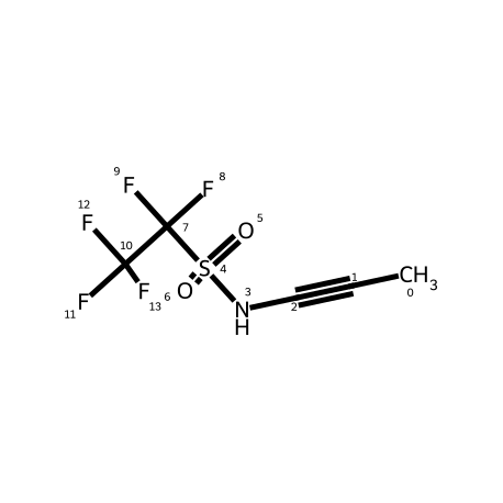 CC#CNS(=O)(=O)C(F)(F)C(F)(F)F